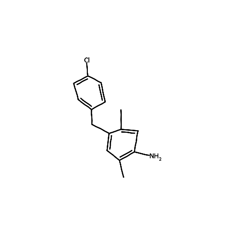 Cc1cc(Cc2ccc(Cl)cc2)c(C)cc1N